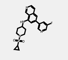 O=S(=O)(C1CC1)N1CCC(Nc2cc(-c3cncc(F)c3)cc3ccncc23)CC1